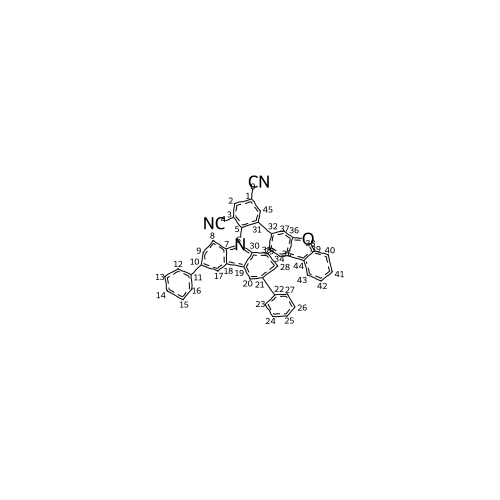 N#Cc1cc(C#N)c(-n2c3ccc(-c4ccccc4)cc3c3cc(-c4ccccc4)ccc32)c(-c2ccc3c(c2)oc2ccccc23)c1